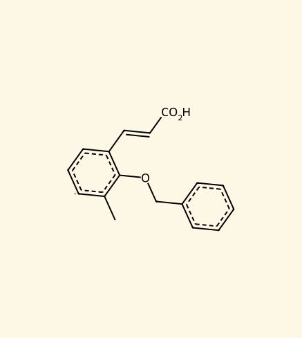 Cc1[c]ccc(C=CC(=O)O)c1OCc1ccccc1